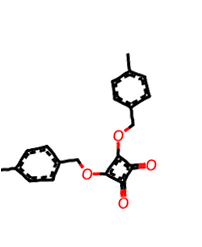 Cc1ccc(COc2c(OCc3ccc(C)cc3)c(=O)c2=O)cc1